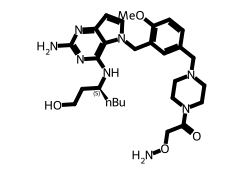 CCCC[C@@H](CCO)Nc1nc(N)nc2ccn(Cc3cc(CN4CCN(C(=O)CON)CC4)ccc3OC)c12